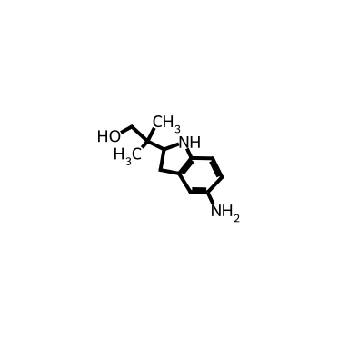 CC(C)(CO)C1Cc2cc(N)ccc2N1